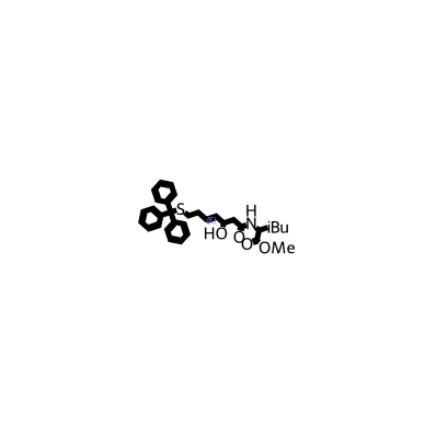 CCC(C)C(NC(=O)CC(O)/C=C/CCSC(c1ccccc1)(c1ccccc1)c1ccccc1)C(=O)OC